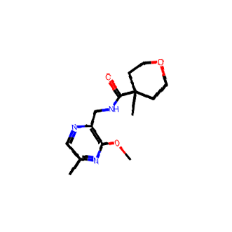 COc1nc(C)cnc1CNC(=O)C1(C)CCOCC1